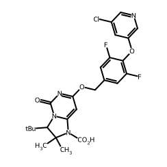 CC(C)(C)C1n2c(cc(OCc3cc(F)c(Oc4cncc(Cl)c4)c(F)c3)nc2=O)N(C(=O)O)C1(C)C